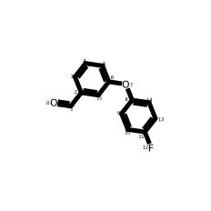 O=[C]c1cccc(Oc2ccc(F)cc2)c1